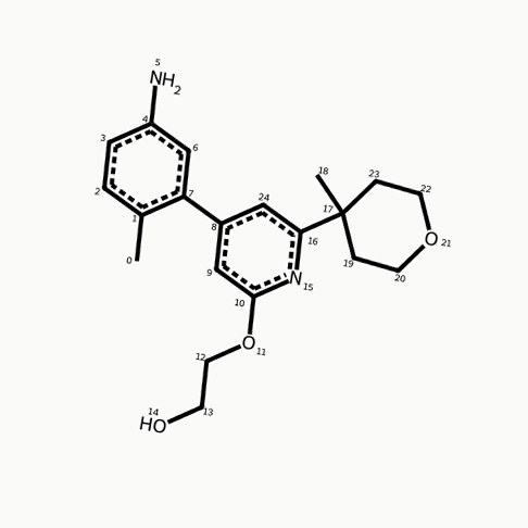 Cc1ccc(N)cc1-c1cc(OCCO)nc(C2(C)CCOCC2)c1